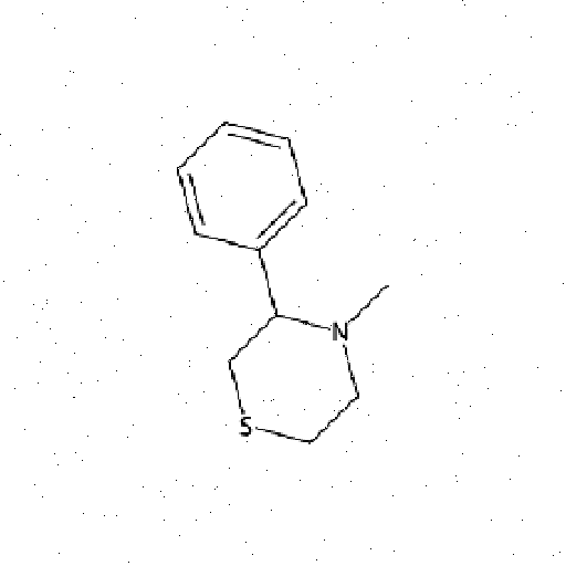 CN1CCSCC1c1ccccc1